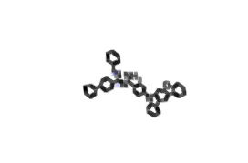 NC(/N=C(\N=C\c1ccccc1)c1ccc(-c2ccccc2)cc1)c1ccc(-n2c3ccccc3c3cc4c(cc32)oc2ccccc24)cc1